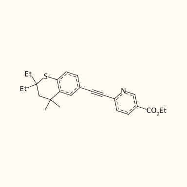 CCOC(=O)c1ccc(C#Cc2ccc3c(c2)C(C)(C)CC(CC)(CC)S3)nc1